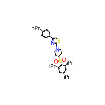 CCCc1ccc(-c2csc(N3CCC(S(=O)(=O)c4c(C(C)C)cc(C(C)C)cc4C(C)C)CC3)n2)cc1